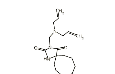 C=CCN(CC=C)CN1C(=O)NC2(CCCCCCC2)C1=O